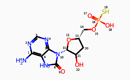 Nc1ncnc2c1[nH]c(=O)n2[C@@H]1O[C@H](COP(=O)(O)S)CC1O